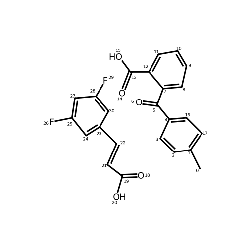 Cc1ccc(C(=O)c2ccccc2C(=O)O)cc1.O=C(O)C=Cc1cc(F)cc(F)c1